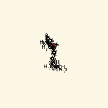 CNC(C)C(=O)N[C@@H](C)C(=O)Nc1cccc(Cc2ccc([C@@H]3O[C@@H]4CC5C6CCC7=CC(=O)C=CC7(C)[C@@]6(F)C(O)CC5(C)C4(C(=O)SCF)O3)cc2)c1